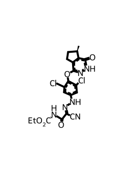 CCOC(=O)NC(=O)/C(C#N)=N/Nc1cc(Cl)c(Oc2n[nH]c(=O)c3c2CC[C@H]3C)c(Cl)c1